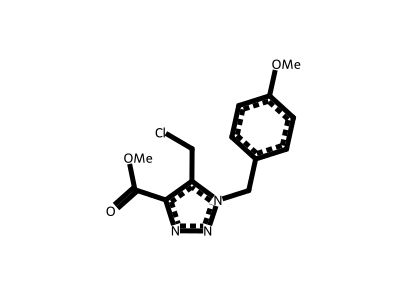 COC(=O)c1nnn(Cc2ccc(OC)cc2)c1CCl